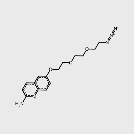 [N-]=[N+]=NCCOCCOCCOc1ccc2nc(N)ccc2c1